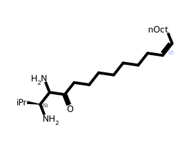 CCCCCCCC/C=C\CCCCCCCC(=O)C(N)[C@@H](N)C(C)C